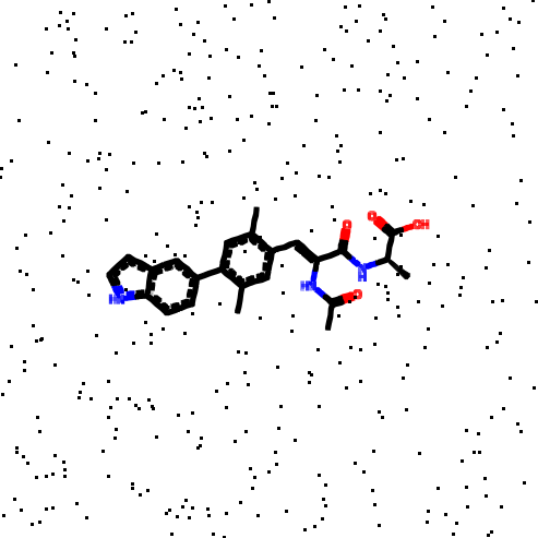 CC(=O)N/C(=C\c1cc(C)c(-c2ccc3[nH]ccc3c2)cc1C)C(=O)N[C@H](C)C(=O)O